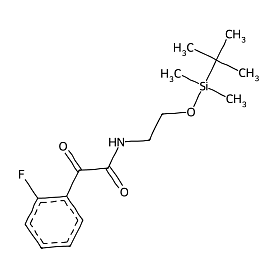 CC(C)(C)[Si](C)(C)OCCNC(=O)C(=O)c1ccccc1F